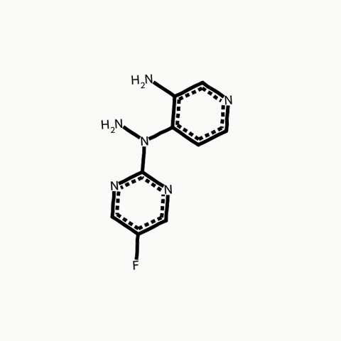 Nc1cnccc1N(N)c1ncc(F)cn1